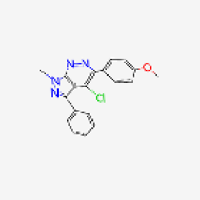 COc1ccc(-c2nnc3c(c(-c4ccccc4)nn3C)c2Cl)cc1